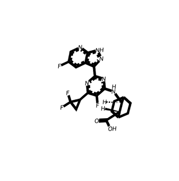 O=C(O)[C@H]1C2CCC(CC2)[C@@H]1Nc1nc(-c2n[nH]c3ncc(F)cc23)nc(C2CC2(F)F)c1F